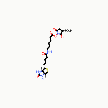 O=C(CCCC[C@@H]1SC[C@@H]2NC(=O)N[C@@H]21)NCCCCCC(=O)ON1C(=O)CC(S(=O)(=O)O)C1=O